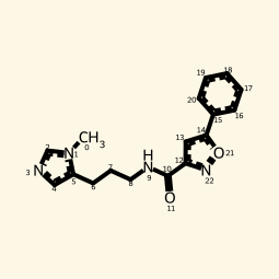 Cn1cncc1CCCNC(=O)c1cc(-c2ccccc2)on1